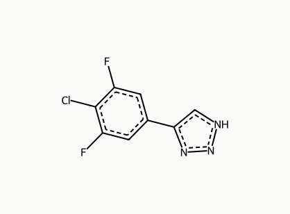 Fc1cc(-c2c[nH]nn2)cc(F)c1Cl